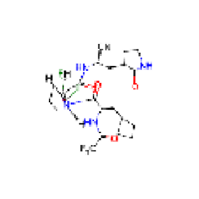 N#C[C@@H](C[C@H]1CCNC1=O)NC(=O)[C@@H]1[C@H]2CC[C@H](CC2(F)F)N1C(=O)[C@@H](CC1CCC1)NC(=O)C(F)(F)F